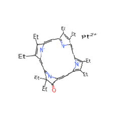 CCC1=C(CC)c2cc3[n-]c(cc4nc(cc5[n-]c(cc1n2)c(CC)c5CC)C(=O)C4(CC)CC)c(CC)c3CC.[Pt+2]